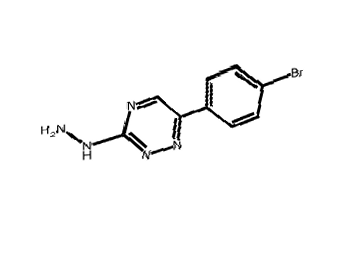 NNc1ncc(-c2ccc(Br)cc2)nn1